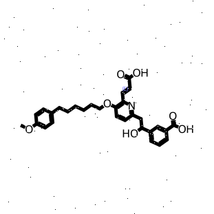 COc1ccc(CCCCCCOc2ccc(CC(O)c3cccc(C(=O)O)c3)nc2/C=C/C(=O)O)cc1